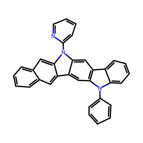 c1ccc(-n2c3ccccc3c3cc4c(cc32)c2cc3ccccc3cc2n4-c2ccccn2)cc1